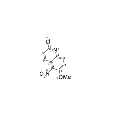 COc1ccc2nc(Cl)ccc2c1[N+](=O)[O-]